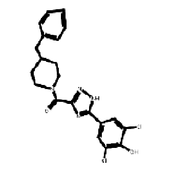 O=C(c1n[nH]c(-c2cc(Cl)c(O)c(Cl)c2)n1)N1CCC(Cc2ccccc2)CC1